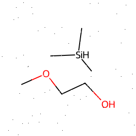 COCCO.C[SiH](C)C